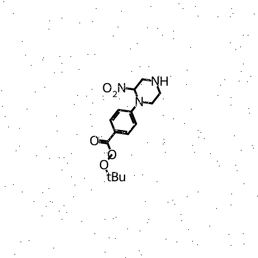 CC(C)(C)OOC(=O)c1ccc(N2CCNCC2[N+](=O)[O-])cc1